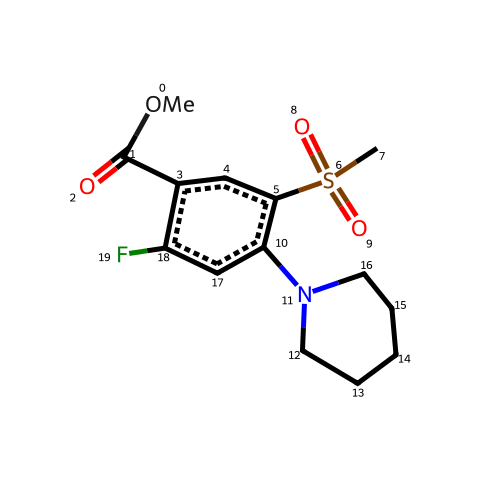 COC(=O)c1cc(S(C)(=O)=O)c(N2CCCCC2)cc1F